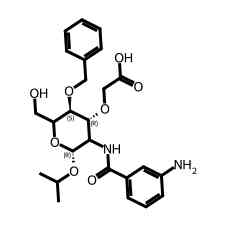 CC(C)O[C@@H]1OC(CO)[C@@H](OCc2ccccc2)[C@H](OCC(=O)O)C1NC(=O)c1cccc(N)c1